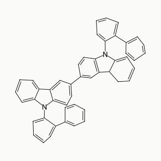 C1=CCC2C(=C1)N(c1ccccc1-c1ccccc1)c1ccc(-c3ccc4c(c3)c3ccccc3n4-c3ccccc3-c3ccccc3)cc12